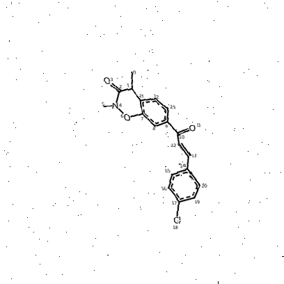 CC1C(=O)N(C)Oc2cc(C(=O)C=Cc3ccc(Cl)cc3)ccc21